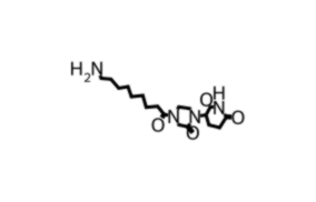 NCCCCCCCCC(=O)N1CCN(C2CCC(=O)NC2=O)C(=O)C1